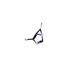 CCc1ncn2c1[C@@H]2C